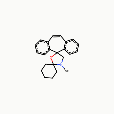 CC(=O)N1CC2(OC13CCCCC3)c1ccccc1C=Cc1ccccc12